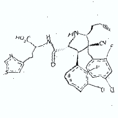 CC(C)(C)C[C@@H]1N[C@@H](C(=O)NC(Cc2cscn2)C(=O)O)[C@H](c2cccc(Cl)c2F)[C@@]1(C#N)c1ccc(Cl)cc1F